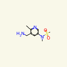 Cc1ncc(N(C)S(C)(=O)=O)cc1CN